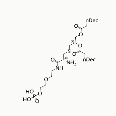 CCCCCCCCCCCC(=O)OC[C@H](CSC[C@H](N)C(=O)NCCOCCOP(=O)(O)O)OC(=O)CCCCCCCCCCC